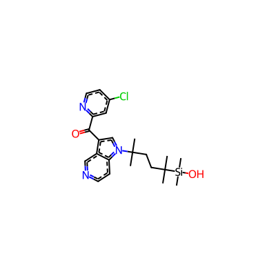 CC(C)(CCC(C)(C)[Si](C)(C)O)n1cc(C(=O)c2cc(Cl)ccn2)c2cnccc21